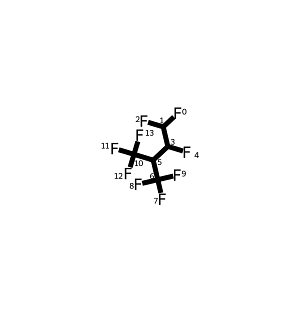 FC(F)C(F)C(C(F)(F)F)C(F)(F)F